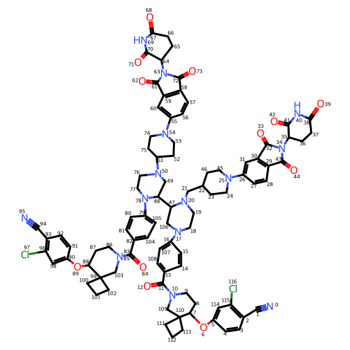 N#Cc1ccc(OC2CCN(C(=O)c3ccc(N4CCN(CC5CCN(c6ccc7c(c6)C(=O)N(C6CCC(=O)NC6=O)C7=O)CC5)C(C5CN(C6CCN(c7ccc8c(c7)C(=O)N(C7CCC(=O)NC7=O)C8=O)CC6)CCN5c5ccc(C(=O)N6CCC(Oc7ccc(C#N)c(Cl)c7)C7(CCC7)C6)cc5)C4)cc3)CC23CCC3)cc1Cl